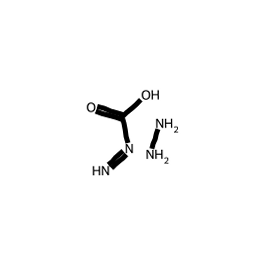 N=NC(=O)O.NN